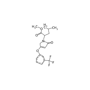 COC(=O)C(CC(C)C)N1CC(Oc2cccc(C(F)(F)F)c2)=CC1=O